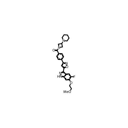 COCCOc1cc2[nH]nc(-c3cc(-c4ccc(C(=O)N5CC(N6CCCCC6)C5)cc4)no3)c2cc1F